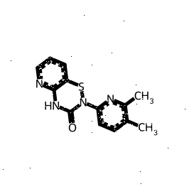 Cc1ccc(N2Sc3cccnc3NC2=O)nc1C